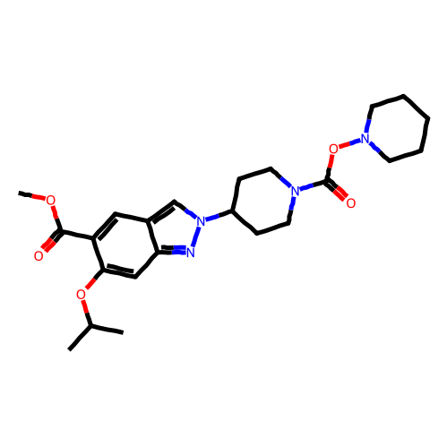 COC(=O)c1cc2cn(C3CCN(C(=O)ON4CCCCC4)CC3)nc2cc1OC(C)C